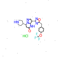 Cl.O=c1cc(C2CCNCC2)n2ncc(-c3noc(Cc4ccc(OC(F)(F)F)cc4)n3)c2[nH]1